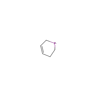 C1=CC[P]CC1